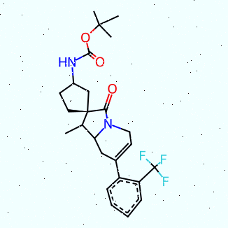 CC1C2CC(c3ccccc3C(F)(F)F)=CCN2C(=O)[C@]12CCC(NC(=O)OC(C)(C)C)C2